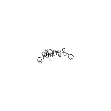 C[C@]12CC[C@H](OC(=O)C(=O)OCc3ccccc3)CC1=CC[C@@H]1[C@@H]2CC[C@]2(C)C(c3cccnc3)=CC[C@@H]12